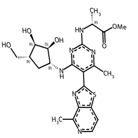 COC(=O)[C@@H](C)Nc1nc(C)c(-c2nc3c(C)nccc3s2)c(N[C@@H]2C[C@H](CO)[C@@H](O)[C@H]2O)n1